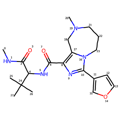 CNC(=O)C(NC(=O)c1nc(-c2ccoc2)n2c1CN(C)CCC2)C(C)(C)C